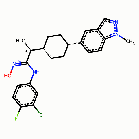 C[C@@H](/C(=N/O)Nc1ccc(F)c(Cl)c1)[C@H]1CC[C@@H](c2ccc3c(cnn3C)c2)CC1